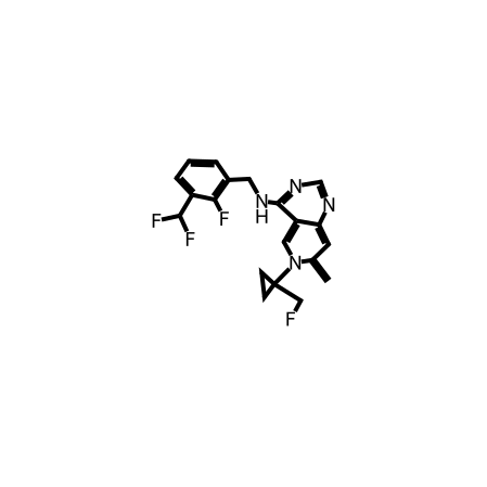 C=C1C=c2ncnc(NCc3cccc(C(F)F)c3F)c2=CN1C1(CF)CC1